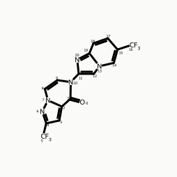 O=c1c2cc(C(F)(F)F)nn2ccn1-c1cn2cc(C(F)(F)F)ccc2n1